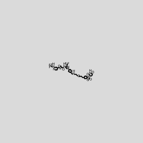 Cn1c(=O)n(C2CCC(=O)NC2=O)c2ccc(CCCOCCCNCc3ccc(-n4cc(NC(=O)c5coc(-c6ccnc(NCC(F)(F)F)c6)n5)c(C(F)F)n4)cc3)cc21